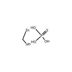 CCC[CH2][Zn].OP(O)(O)=S